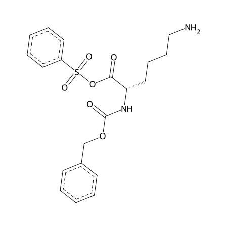 NCCCC[C@H](NC(=O)OCc1ccccc1)C(=O)OS(=O)(=O)c1ccccc1